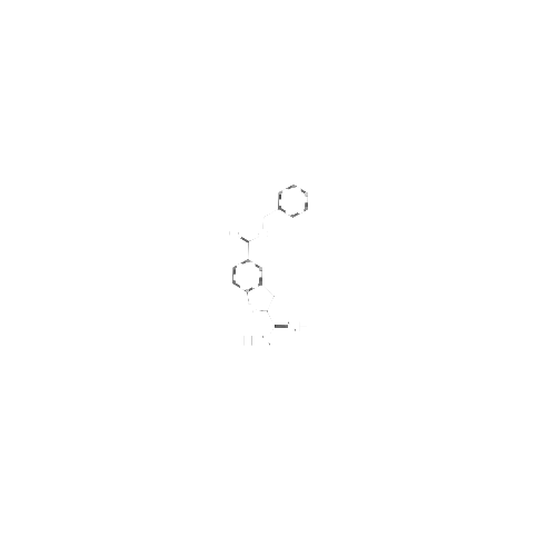 N=C(N)C1Cc2cc(C(=O)OCc3ccccc3)ccc2S1